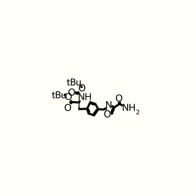 CC(C)(C)OC(=O)N[C@@H](Cc1ccc(-c2nc(C(N)=O)co2)cc1)C(=O)OC(C)(C)C